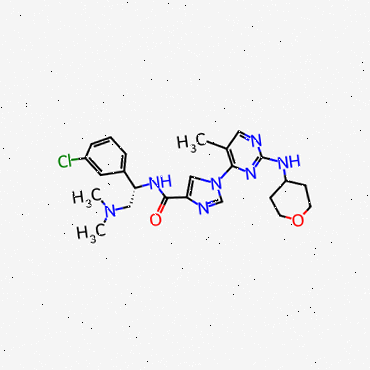 Cc1cnc(NC2CCOCC2)nc1-n1cnc(C(=O)N[C@H](CN(C)C)c2cccc(Cl)c2)c1